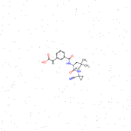 C[Si](C)(C)C[C@H](NC(=O)c1cccc(BC(=O)O)c1)C(=O)NC1(C#N)CC1